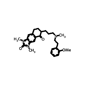 COc1ccccc1CCN(C)CCCC1CCc2cc3c(cc2C1=O)n(C)c(=O)n3C